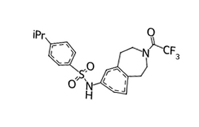 CC(C)c1ccc(S(=O)(=O)Nc2ccc3c(c2)CCN(C(=O)C(F)(F)F)CC3)cc1